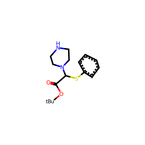 CC(C)(C)OC(=O)C(Sc1[c]cccc1)N1CCNCC1